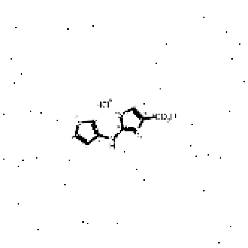 Cl.O=C(O)c1csc(Nc2ccsc2)n1